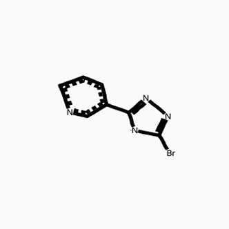 BrC1=NN=C(c2cccnc2)[N]1